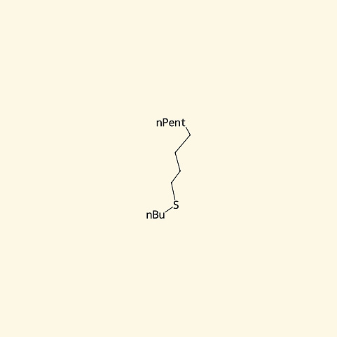 CCCCCCCCCSCCCC